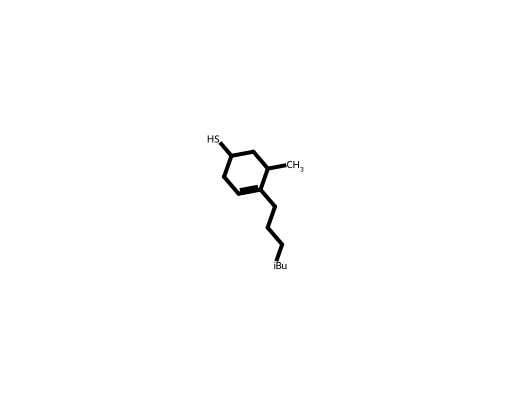 CCC(C)CCCC1=CCC(S)CC1C